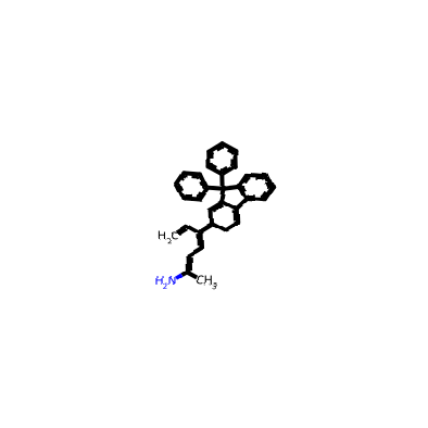 C=C/C(=C\C=C(/C)N)C1C=C2C(=CC1)c1ccccc1C2(c1ccccc1)c1ccccc1